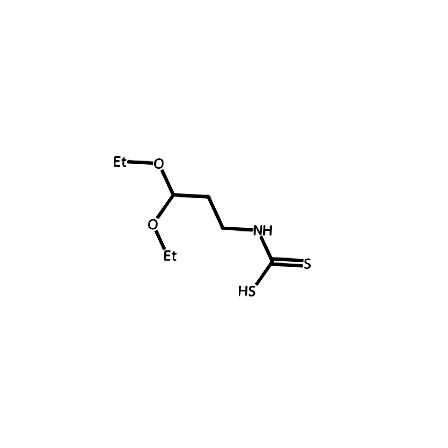 CCOC(CCNC(=S)S)OCC